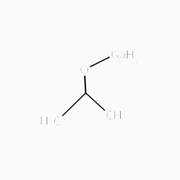 CC(C)[O][GaH2]